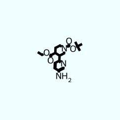 CCOC(=O)C1CCN(C(=O)OC(C)(C)C)CC1c1ccc(N)cn1